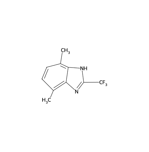 Cc1ccc(C)c2[nH]c(C(F)(F)F)nc12